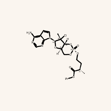 CC(C)OC(=O)[C@@H](C)CCO[P@]1(=O)OC[C@H]2O[C@@H](n3ccc4c(N)ncnc43)[C@](C)(Cl)[C@@H]2O1